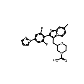 Cc1ccn2c(CC3CN(C(=O)O)CCO3)c(-c3c(F)cc(-n4cccn4)cc3F)nc2c1